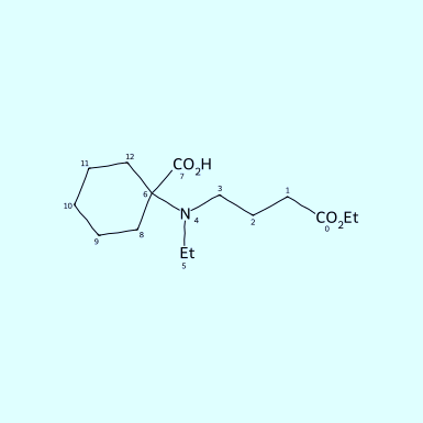 CCOC(=O)CCCN(CC)C1(C(=O)O)CCCCC1